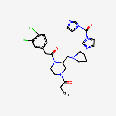 CCC(=O)N1CCN(C(=O)Cc2ccc(Cl)c(Cl)c2)C(CN2CCCC2)C1.O=C(n1ccnc1)n1ccnc1